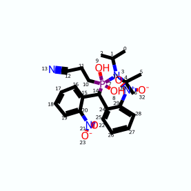 CC(C)N(C(C)C)P(O)(O)(CCC#N)C(c1ccccc1[N+](=O)[O-])c1ccccc1[N+](=O)[O-]